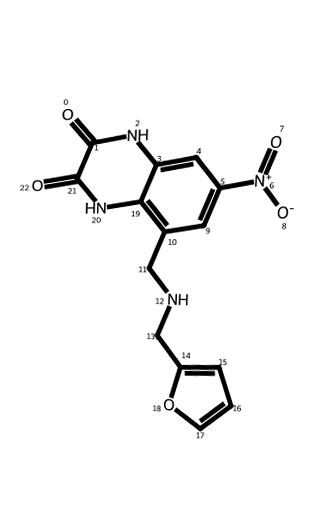 O=c1[nH]c2cc([N+](=O)[O-])cc(CN[CH]c3ccco3)c2[nH]c1=O